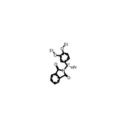 CCC[C@@H](c1ccc(OCC)c(OCC)c1)N1C(=O)c2ccccc2C1=O